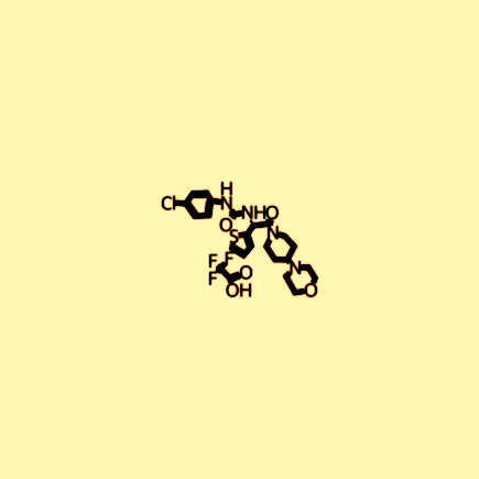 O=C(Nc1ccc(Cl)cc1)N[C@H](C(=O)N1CCC(N2CCOCC2)CC1)c1cccs1.O=C(O)C(F)(F)F